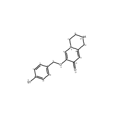 CCc1ccc(COc2cn3c(cc2=O)CNCC3)cc1